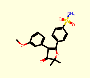 COc1cccc(C2=C(c3ccc(S(N)(=O)=O)cc3)OC(C)(C)C2=O)c1